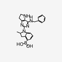 CC1Cc2c(B(O)O)cccc2N1c1nc2c(c(NCc3ccccc3)n1)NCC2